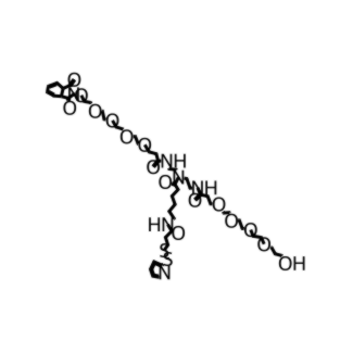 O=C(CCOCCOCCOCCOCCCO)NCCN(CCNC(=O)CCOCCOCCOCCOCCON1C(=O)C2C=CC=CC2C1=O)C(=O)CCCCCNC(=O)CCSSc1ccccn1